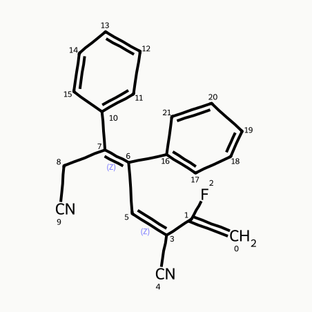 C=C(F)/C(C#N)=C\C(=C(/CC#N)c1ccccc1)c1ccccc1